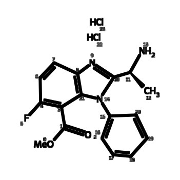 COC(=O)c1c(F)ccc2nc([C@H](C)N)n(-c3ccccc3)c12.Cl.Cl